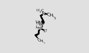 CCCC[SiH](Cl)NCCN(C)C